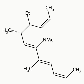 C\C=C/C=C(C)/C(=C/[C@H](C)C(/C=C\C)CC)NC